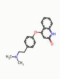 CN(C)CCc1ccc(Oc2cc(=O)[nH]c3ccccc23)cc1